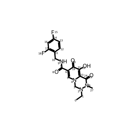 CCN1Cn2cc(C(=O)NCc3ccc(F)cc3F)c(=O)c(O)c2C(=O)N1C